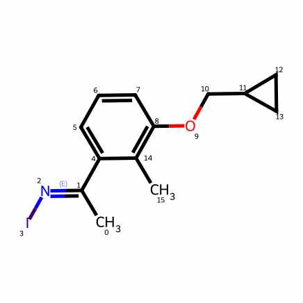 C/C(=N\I)c1cccc(OCC2CC2)c1C